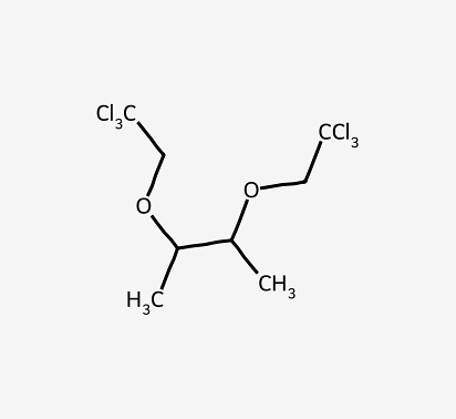 CC(OCC(Cl)(Cl)Cl)C(C)OCC(Cl)(Cl)Cl